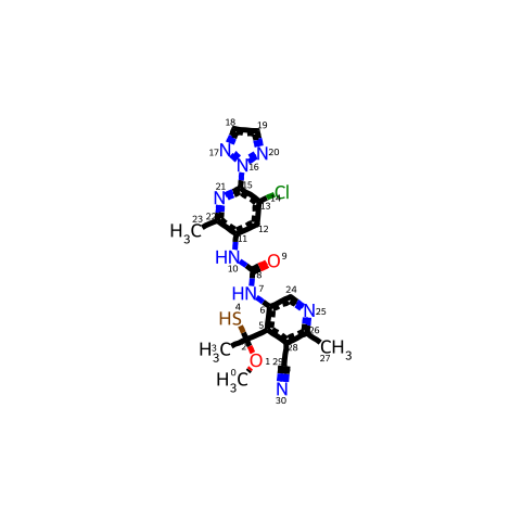 COC(C)(S)c1c(NC(=O)Nc2cc(Cl)c(-n3nccn3)nc2C)cnc(C)c1C#N